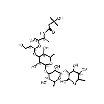 CO[C@@H](CO)[C@@H](OC(C)[C@H](C)NC(=O)CC(C)(C)O)OC1[C@@H](O)C(C)O[C@@H](OC2[C@@H](O)C(C)O[C@@H](O[C@@H]3C(O)OC(C)[C@H](O)C3O)[C@H]2O)[C@H]1O